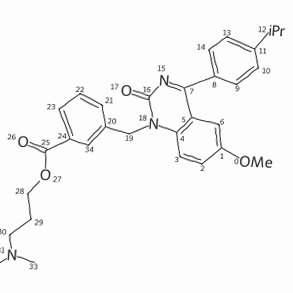 COc1ccc2c(c1)c(-c1ccc(C(C)C)cc1)nc(=O)n2Cc1cccc(C(=O)OCCCN(C)C)c1